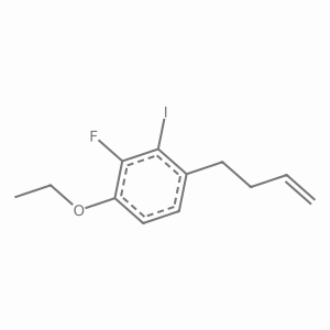 C=CCCc1ccc(OCC)c(F)c1I